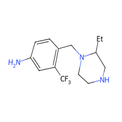 CCC1CNCCN1Cc1ccc(N)cc1C(F)(F)F